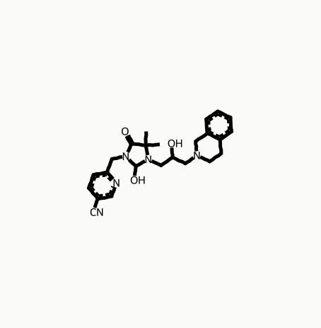 CC1(C)C(=O)N(Cc2ccc(C#N)cn2)C(O)N1CC(O)CN1CCc2ccccc2C1